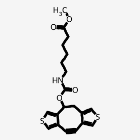 COC(=O)CCCCCNC(=O)OC1Cc2cscc2C#Cc2cscc21